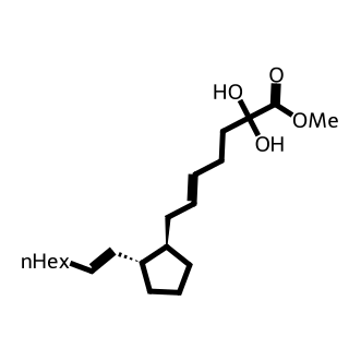 CCCCCCC=C[C@H]1CCC[C@@H]1CC=CCCC(O)(O)C(=O)OC